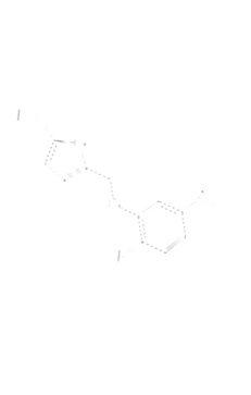 CC(=O)c1ccc(F)c(OCc2ccc(C(F)(F)F)o2)c1